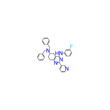 Fc1cccc(Nc2nc(-c3cccnc3)nc3c2CC(N(Cc2ccccc2)Cc2ccccc2)CC3)c1